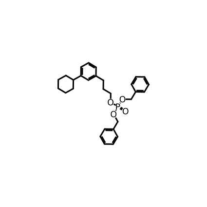 O=P(OCCCc1cccc(C2CCCCC2)c1)(OCc1ccccc1)OCc1ccccc1